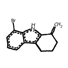 C=C1CCCc2c1[nH]c1c(Br)cccc21